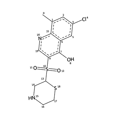 Cc1cc(Cl)cc2c(O)c(S(=O)(=O)C3CNCCS3)cnc12